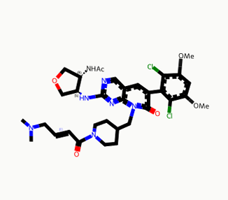 COc1cc(OC)c(Cl)c(-c2cc3cnc(N[C@@H]4COC[C@@H]4NC(C)=O)nc3n(CC3CCN(C(=O)/C=C/CN(C)C)CC3)c2=O)c1Cl